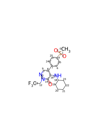 CS(=O)(=O)c1ccc(-c2cnn(CC(F)(F)F)c(=O)c2NC2CCCCC2)cc1